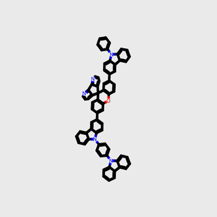 c1ccc(-n2c3ccccc3c3cc(-c4ccc5c(c4)C4(c6ccc(-c7ccc8c(c7)c7ccccc7n8-c7ccc(-n8c9ccccc9c9ccccc98)cc7)cc6O5)c5cccnc5-c5ncccc54)ccc32)cc1